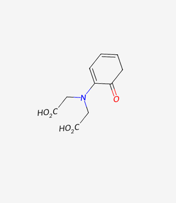 O=C(O)CN(CC(=O)O)C1=CC=CCC1=O